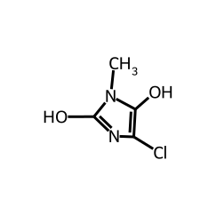 Cn1c(O)nc(Cl)c1O